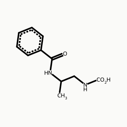 CC(CNC(=O)O)NC(=O)c1ccccc1